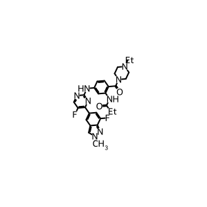 CCC(=O)Nc1cc(Nc2ncc(F)c(-c3cc(F)c4nn(C)cc4c3)n2)ccc1C(=O)N1CCN(CC)CC1